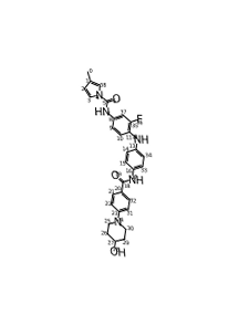 Cc1ccn(C(=O)Nc2ccc(Nc3ccc(NC(=O)c4ccc(N5CCC(O)CC5)cc4)cc3)c(F)c2)c1